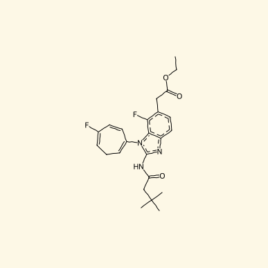 CCOC(=O)Cc1ccc2nc(NC(=O)CC(C)(C)C)n(C3=CCC=C(F)C=C3)c2c1F